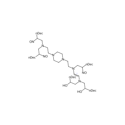 CCCCCCCCCCC(O)CN(/C=C/N(CCN1CCN(CCN(CC(CCCCCCCCCC)N=O)CC(CCCCCCCCCC)N=O)CC1)CC(CCCCCCCCCC)N=O)CC(O)CCCCCCCCCC